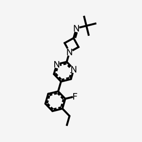 CCc1cccc(-c2cnc(N3CC(=NC(C)(C)C)C3)nc2)c1F